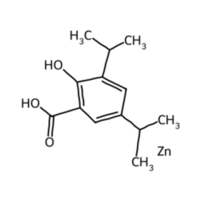 CC(C)c1cc(C(=O)O)c(O)c(C(C)C)c1.[Zn]